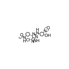 C=CC(=O)Nc1cccc(-c2nc(Nc3ccc(O)c(N4CCOCC4)c3)nc3[nH]nc(Cl)c23)c1